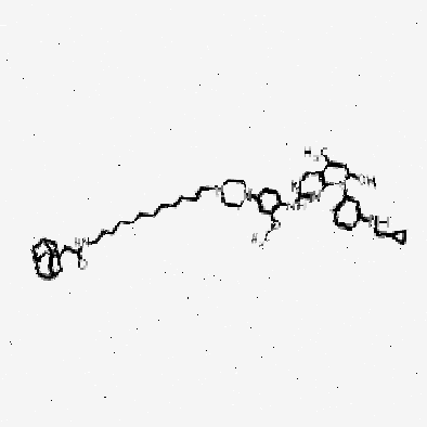 COc1cc(N2CCN(CCCCCCCCCCCCNC(=O)CC34CC5CC(CC(C5)C3)C4)CC2)ccc1Nc1ncc2c(n1)N(c1cccc(NCC3CC3)c1)C(O)C=C2C